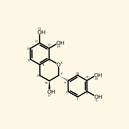 Oc1ccc([C@H]2Oc3c(ccc(O)c3O)C[C@@H]2O)cc1O